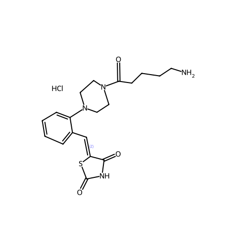 Cl.NCCCCC(=O)N1CCN(c2ccccc2/C=C2\SC(=O)NC2=O)CC1